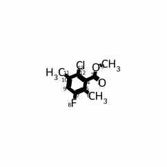 COC(=O)c1c(C)c(F)cc(C)c1Cl